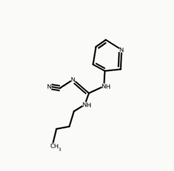 CCCCNC(=NC#N)Nc1cccnc1